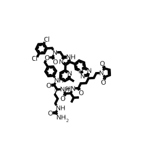 Cc1cccc(-c2nc(CN(Cc3cc(Cl)ccc3Cl)C(=O)OCc3ccc(NC(=O)[C@H](CCCNC(N)=O)NC(=O)C(NC(=O)CCCCCN4C(=O)C=CC4=O)C(C)C)cc3)[nH]c2-c2ccc3ncnn3c2)n1